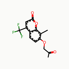 CC(=O)COc1ccc2c(C(F)(F)F)cc(=O)oc2c1C